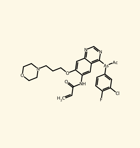 C=CC(=O)Nc1cc2c([As](C(C)=O)c3ccc(F)c(Cl)c3)ncnc2cc1OCCCN1CCOCC1